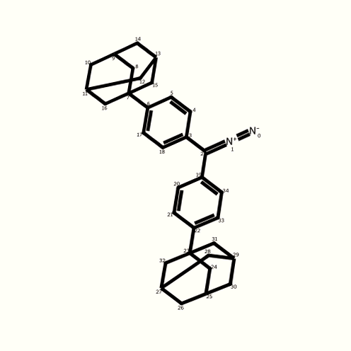 [N-]=[N+]=C(c1ccc(C23CC4CC(CC(C4)C2)C3)cc1)c1ccc(C23CC4CC(CC(C4)C2)C3)cc1